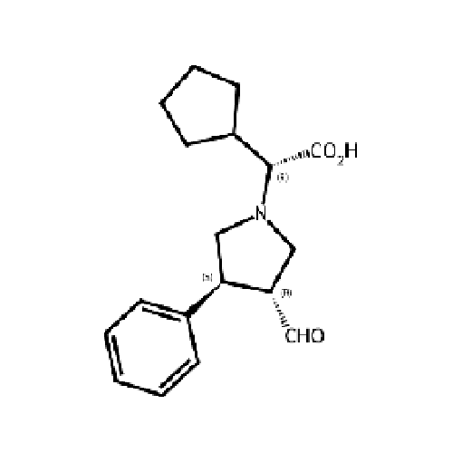 O=C[C@H]1CN([C@@H](C(=O)O)C2CCCC2)C[C@@H]1c1ccccc1